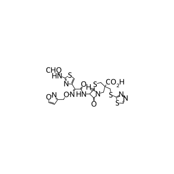 O=CNc1nc(C(=NOCc2ccon2)C(=O)NC2C(=O)N3CC(CSc4nncs4)(C(=O)O)CS[C@H]23)cs1